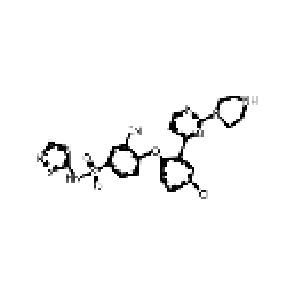 N#Cc1cc(S(=O)(=O)Nc2ncns2)ccc1Oc1ccc(Cl)cc1-c1ccnc(N2CCNCC2)n1